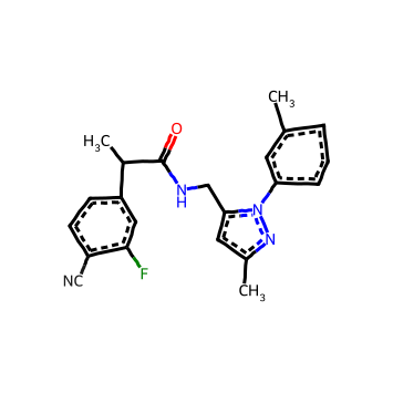 Cc1cccc(-n2nc(C)cc2CNC(=O)C(C)c2ccc(C#N)c(F)c2)c1